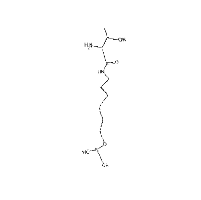 CC(O)C(N)C(=O)NCCCCCCON(O)O